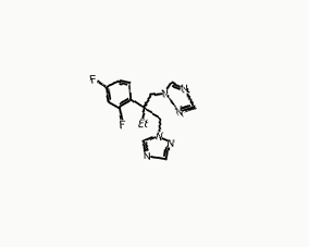 CCC(Cn1cncn1)(Cn1cncn1)c1ccc(F)cc1F